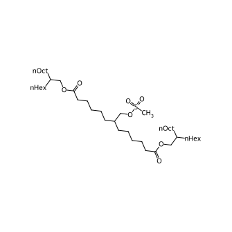 CCCCCCCCC(CCCCCC)COC(=O)CCCCCC(CCCCCC(=O)OCC(CCCCCC)CCCCCCCC)COS(C)(=O)=O